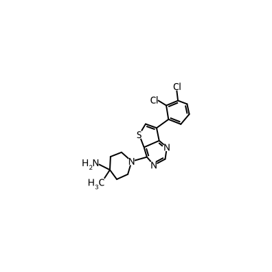 CC1(N)CCN(c2ncnc3c(-c4cccc(Cl)c4Cl)csc23)CC1